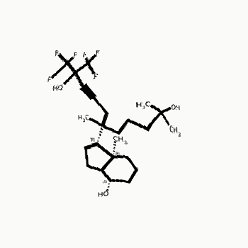 CC(C)(O)CCCC(C)(CC#CC(O)(C(F)(F)F)C(F)(F)F)[C@H]1CCC2[C@@H](O)CCC[C@@]21C